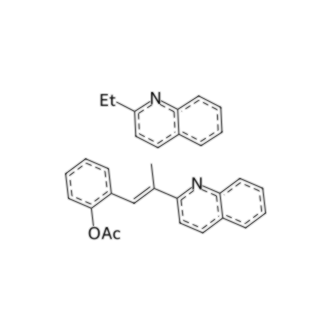 CC(=O)Oc1ccccc1C=C(C)c1ccc2ccccc2n1.CCc1ccc2ccccc2n1